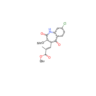 COc1c(C=C(C)C(=O)OC(C)(C)C)c(=O)c2ccc(Cl)cc2[nH]c1=O